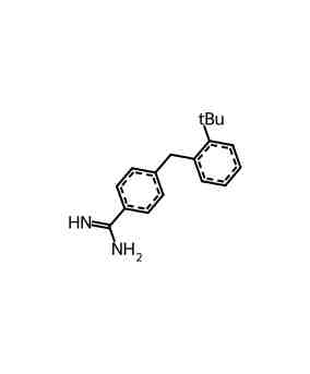 CC(C)(C)c1ccccc1Cc1ccc(C(=N)N)cc1